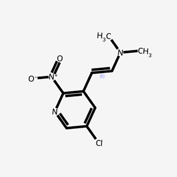 CN(C)/C=C/c1cc(Cl)cnc1[N+](=O)[O-]